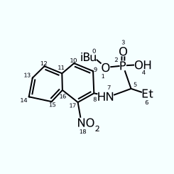 CCC(C)OP(=O)(O)C(CC)Nc1ccc2ccccc2c1[N+](=O)[O-]